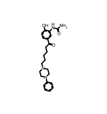 NC(=O)Nc1cc(C(=O)CCCCCN2CCN(c3ccccc3)CC2)ccc1O